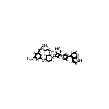 CN(CCO)Cc1cc(OC2CCN([C@H]3C[C@](CC#N)(n4cc(-c5ncnc6[nH]ccc56)cn4)C3)CC2)nc(C(F)(F)F)c1